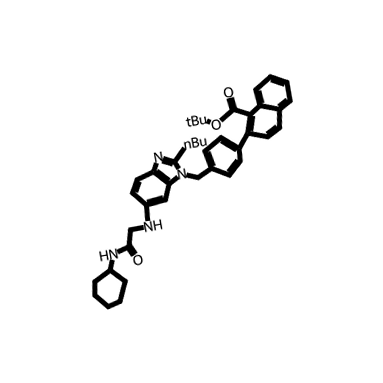 CCCCc1nc2ccc(NCC(=O)NC3CCCCC3)cc2n1Cc1ccc(-c2ccc3ccccc3c2C(=O)OC(C)(C)C)cc1